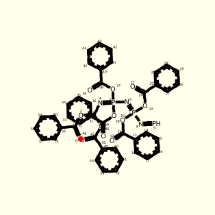 O=C(OC(N=P(N=P(N=P)(OC(=O)c1ccccc1)OC(=O)c1ccccc1)(OC(=O)c1ccccc1)OC(=O)c1ccccc1)OC(=O)c1ccccc1)c1ccccc1